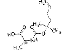 C=CCCC(C)(C)OC(=O)N[C@H](C)C(=O)O